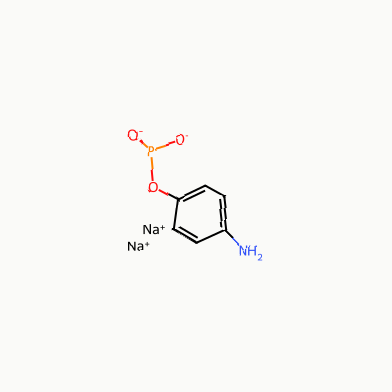 Nc1ccc(OP([O-])[O-])cc1.[Na+].[Na+]